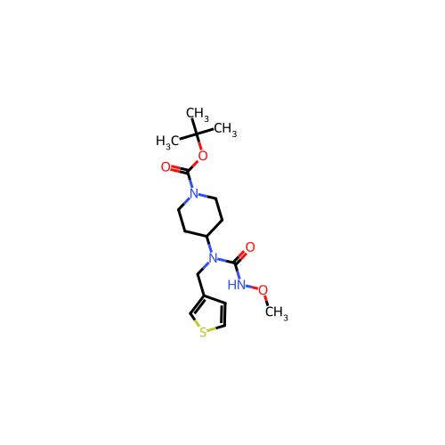 CONC(=O)N(Cc1ccsc1)C1CCN(C(=O)OC(C)(C)C)CC1